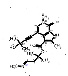 C/N=C/CC(C)(C)OC(=O)c1c(C)[nH]c2c(=O)n(C)cc(C#CC(C)(C)O)c12